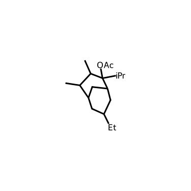 CCC1CC2CC(C1)C(OC(C)=O)(C(C)C)C(C)C2C